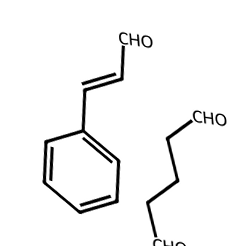 O=CC=Cc1ccccc1.O=CCCCC=O